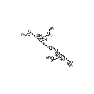 CCCOC(=O)CCCC(O)CN(CCCC(=O)OCCN1CCN(CCSSCCCN(CC(O)CCCCC(=O)OCCC(C)C)CC(O)CCCCC(=O)OCCC(C)C)CC1)CC(O)CCCC(=O)OCCC